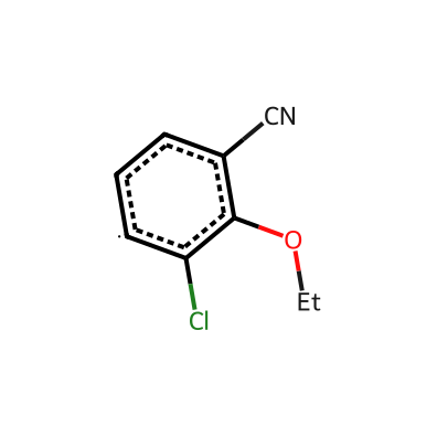 CCOc1c(Cl)[c]ccc1C#N